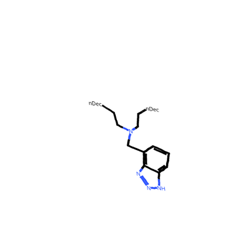 CCCCCCCCCCCCN(CCCCCCCCCCCC)Cc1cccc2[nH]nnc12